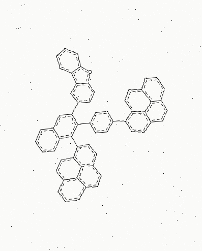 c1ccc2c(-c3ccc4ccc5cccc6ccc3c4c56)c(-c3ccc(-c4ccc5ccc6cccc7ccc4c5c67)cc3)c(-c3ccc4oc5ccccc5c4c3)cc2c1